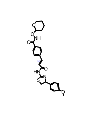 COc1ccc(C2CSC(NC(=O)/C=C/c3ccc(C(=O)NOC4CCCCO4)cc3)=N2)cc1